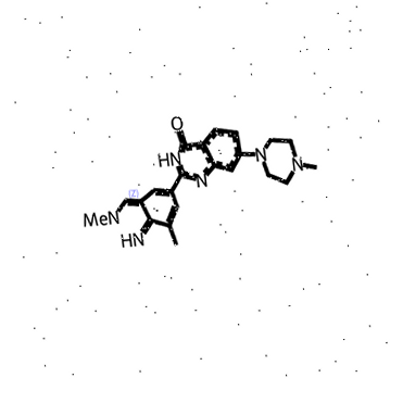 CN/C=C1/C=C(c2nc3cc(N4CCN(C)CC4)ccc3c(=O)[nH]2)C=C(C)C1=N